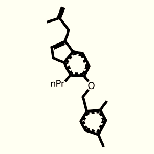 C=C(C)CC1=CCc2c1ccc(OCc1ccc(C)cc1C)c2CCC